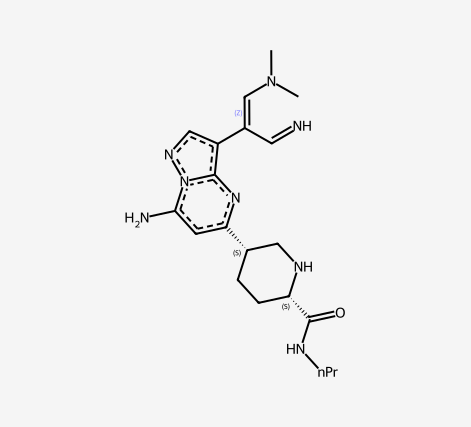 CCCNC(=O)[C@@H]1CC[C@H](c2cc(N)n3ncc(/C(C=N)=C/N(C)C)c3n2)CN1